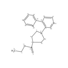 CCOC(=O)C1CCN(c2cnccc2-c2ccccn2)CC1